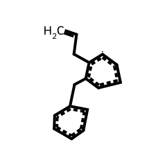 C=CCc1[c]cccc1Cc1ccccc1